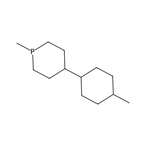 CC1CCC(C2CCP(C)CC2)CC1